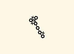 CC1(C)c2ccccc2-c2ccc(-c3ccc(-c4ccc5c(c4)C(C)(C)c4cccc6c4N5c4ccccc4C6(C)C)cc3)cc21